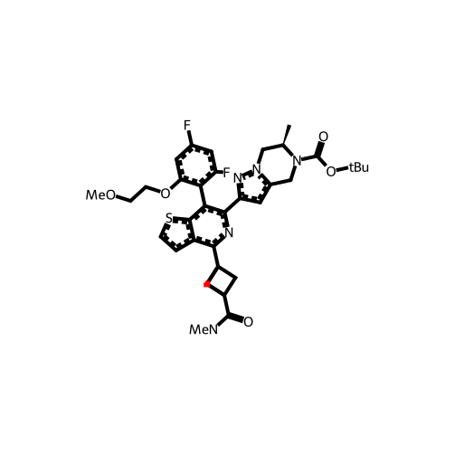 CNC(=O)C12CC(c3nc(-c4cc5n(n4)C[C@@H](C)N(C(=O)OC(C)(C)C)C5)c(-c4c(F)cc(F)cc4OCCOC)c4sccc34)(C1)C2